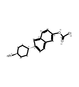 CCC[C@H]1CC[C@H](c2ccc3cc(OC(=O)CC)ccc3c2)CC1